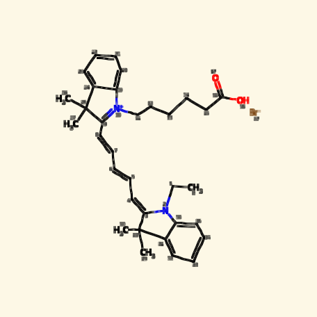 CCN1\C(=C/C=C/C=C/C2=[N+](CCCCCC(=O)O)c3ccccc3C2(C)C)C(C)(C)c2ccccc21.[Br-]